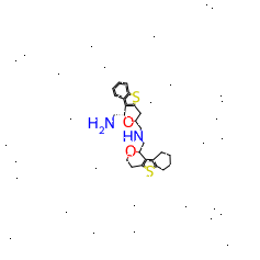 NC[C@H]1OC(CNCC2OCCc3sc4c(c32)CCCC4)Cc2sc3ccccc3c21